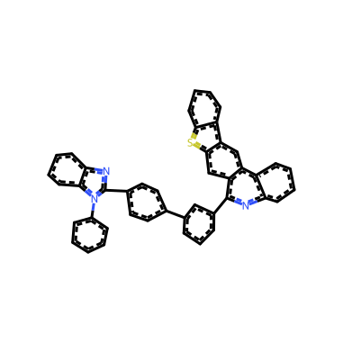 c1ccc(-n2c(-c3ccc(-c4cccc(-c5nc6ccccc6c6cc7c(cc56)sc5ccccc57)c4)cc3)nc3ccccc32)cc1